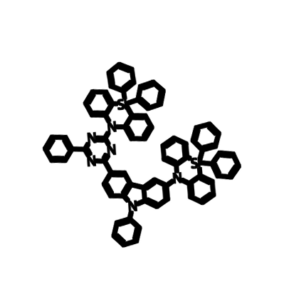 c1ccc(-c2nc(-c3ccc4c(c3)c3cc(N5c6ccccc6[Si](c6ccccc6)(c6ccccc6)c6ccccc65)ccc3n4-c3ccccc3)nc(N3c4ccccc4[Si](c4ccccc4)(c4ccccc4)c4ccccc43)n2)cc1